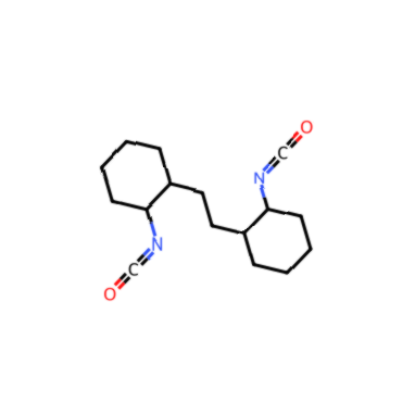 O=C=NC1CCCCC1CCC1CCCCC1N=C=O